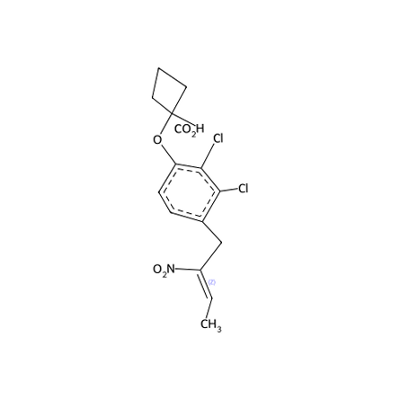 C/C=C(/Cc1ccc(OC2(C(=O)O)CCC2)c(Cl)c1Cl)[N+](=O)[O-]